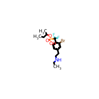 CCNCCc1ccc(C(F)(F)P(=O)(O)OC(C)CC)c(Br)c1